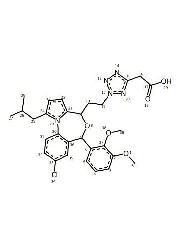 COc1cccc(C2OC(CCn3nnc(CC(=O)O)n3)c3ccc(CC(C)C)n3-c3ccc(Cl)cc32)c1OC